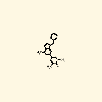 Cc1cc(-c2cc(C)c3ccn(Cc4ccccc4)c3c2)cn(C)c1=O